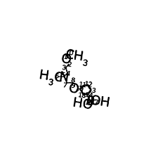 COCCCN(C)CCOc1cccc(B(O)O)c1